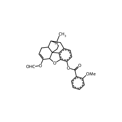 COc1ccccc1C(=O)Oc1ccc2c3c1OC1C(OC=O)=CCC4C(C2)N(C)CCC314